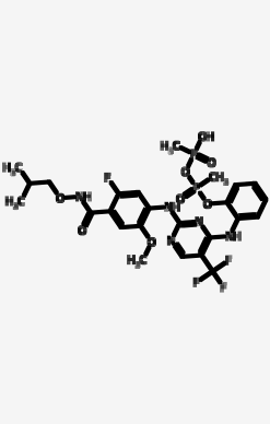 COc1cc(C(=O)NOCC(C)C)c(F)cc1Nc1ncc(C(F)(F)F)c(Nc2ccccc2OP(C)(=O)OP(C)(=O)O)n1